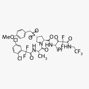 COc1ccc(CS(=O)(=O)[C@@H]2C[C@@H](C(=O)NC(C(=O)C(F)(F)C(=O)NCC(F)(F)F)C(C)C)N(C(=O)C(C)NC(=O)C(F)(F)c3cc(Cl)ccc3Cl)C2)cc1